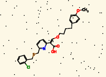 COc1ccc(CCCCOC=C(C(=O)O)c2cccc(CSCc3ccccc3Cl)n2)cc1